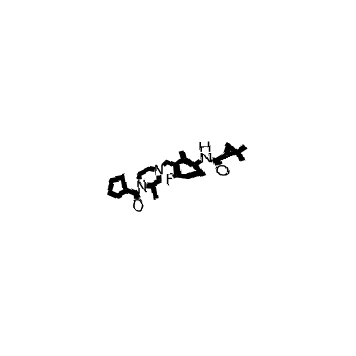 Cc1c(NC(=O)C2CC2(C)C)ccc(F)c1CN1CCN(C(=O)C2CCCC2)C(C)C1